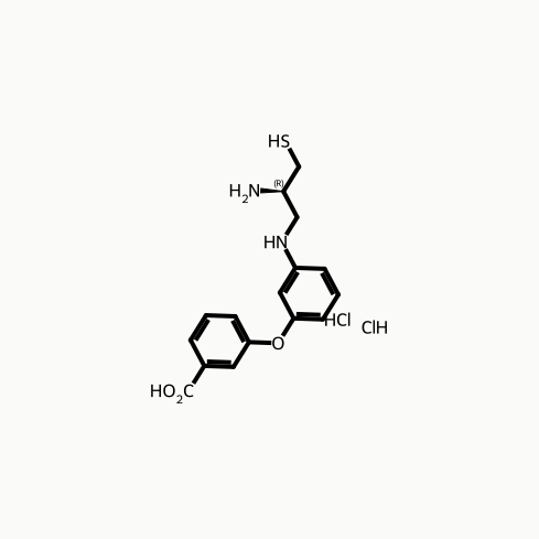 Cl.Cl.N[C@@H](CS)CNc1cccc(Oc2cccc(C(=O)O)c2)c1